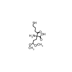 COC(CCC(N)(C(=O)O)C(=O)CCCS)OC